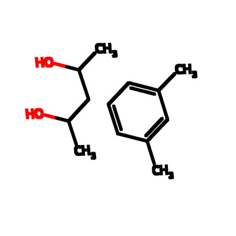 CC(O)CC(C)O.Cc1cccc(C)c1